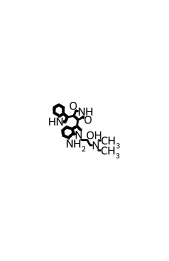 CCN(CC)CC(O)Cn1cc(C2=C(c3c[nH]c4ccccc34)C(=O)NC2=O)c2cccc(N)c21